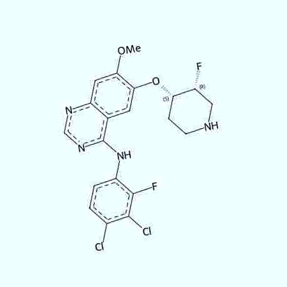 COc1cc2ncnc(Nc3ccc(Cl)c(Cl)c3F)c2cc1O[C@H]1CCNC[C@H]1F